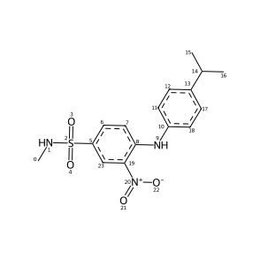 CNS(=O)(=O)c1ccc(Nc2ccc(C(C)C)cc2)c([N+](=O)[O-])c1